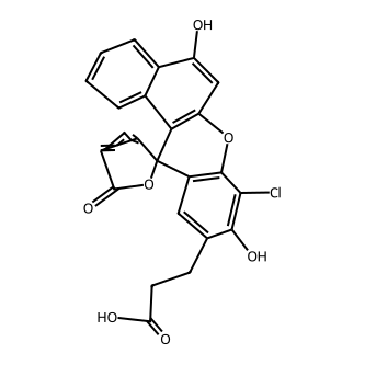 O=C(O)CCc1cc2c(c(Cl)c1O)Oc1cc(O)c3ccccc3c1C21OC(=O)c2ccccc21